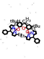 CCc1ccc2n1P(Oc1cc(C(C)(C)C)cc3c1Oc1c(OP4n5c(CC)ccc5C(c5ccccc5)c5ccc(CC)n54)cc(C(C)(C)C)cc1C3(C)C)n1c(CC)ccc1C2c1ccccc1